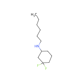 CCCCCCNC1CCCC(F)(F)C1